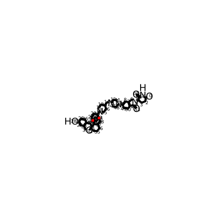 O=C1CC[C@H](N2Cc3cc(N4CCN(CC5CCN(c6ccc([C@@H]7c8ccc(O)cc8CO[C@]78CCCc7ccccc78)cc6)CC5)CC4)ccc3C2=O)C(=O)N1